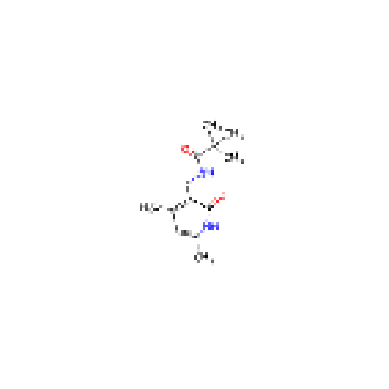 Cc1cc(C)c(CNC(=O)C(C)(C)C)c(=O)[nH]1